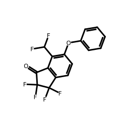 O=C1c2c(ccc(Oc3ccccc3)c2C(F)F)C(F)(F)C1(F)F